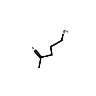 CC(=S)CCCC(C)C